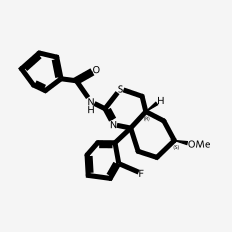 CO[C@H]1CCC2(c3ccccc3F)N=C(NC(=O)c3ccccc3)SC[C@@H]2C1